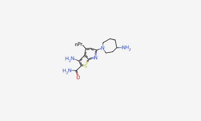 CCCc1cc(N2CCCC(N)CC2)nc2sc(C(N)=O)c(N)c12